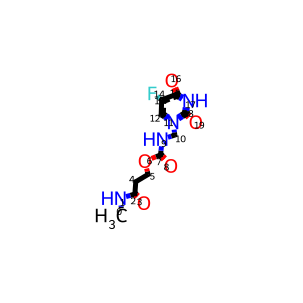 CNC(=O)CCOC(=O)NCn1cc(F)c(=O)[nH]c1=O